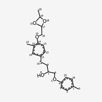 Cc1ccc(OCC(O)CSc2ccc(OCC3OC(C)O3)c(C)c2)cc1